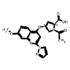 COc1ccc2c(O[C@H]3C[C@@H](C(=O)O)N(C(C)=O)C3)cc(-n3cccn3)nc2c1